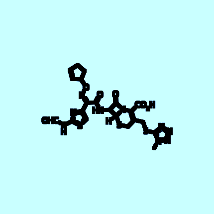 Cn1nnnc1SCC1=C(C(=O)O)N2C(=O)C(NC(=O)/C(=N\OC3C=CCC3)c3csc(NC=O)n3)[C@H]2SC1